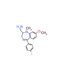 COc1ccc2c(c1)N(C)C(CN)CN=C2c1ccc(F)cc1